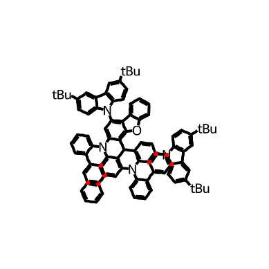 CC(C)(C)c1ccc2c(c1)c1cc(C(C)(C)C)ccc1n2-c1ccc2c(c1)N(c1ccccc1-c1ccccc1)c1cc(-c3ccccc3)cc3c1C2c1c(cc(-n2c4ccc(C(C)(C)C)cc4c4cc(C(C)(C)C)ccc42)c2c1oc1ccccc12)N3c1ccccc1-c1ccccc1